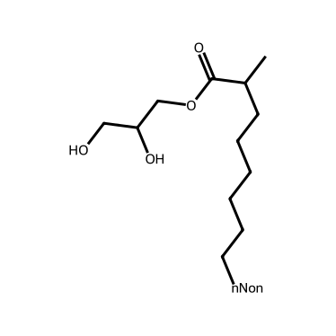 CCCCCCCCCCCCCCCC(C)C(=O)OCC(O)CO